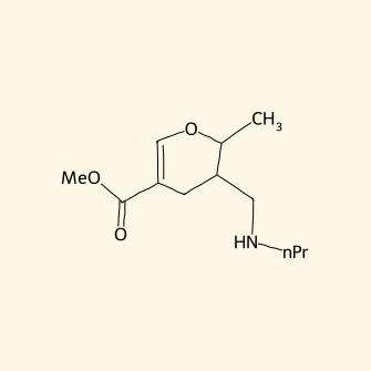 CCCNCC1CC(C(=O)OC)=COC1C